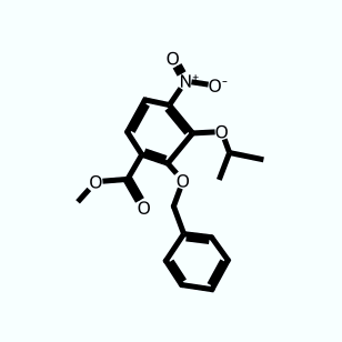 COC(=O)c1ccc([N+](=O)[O-])c(OC(C)C)c1OCc1ccccc1